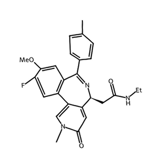 CCNC(=O)C[C@@H]1N=C(c2ccc(C)cc2)c2cc(OC)c(F)cc2-c2cn(C)c(=O)cc21